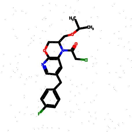 CC(C)OCC1COc2ncc(Cc3ccc(F)cc3)cc2N1C(=O)CCl